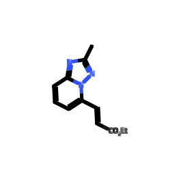 CCOC(=O)/C=C/c1cccc2nc(C)nn12